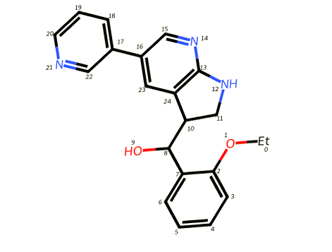 CCOc1ccccc1C(O)C1CNc2ncc(-c3cccnc3)cc21